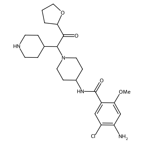 COc1cc(N)c(Cl)cc1C(=O)NC1CCN(C(C(=O)C2CCCO2)C2CCNCC2)CC1